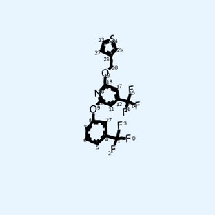 FC(F)(F)c1cccc(Oc2cc(C(F)(F)F)cc(OCc3ccsc3)n2)c1